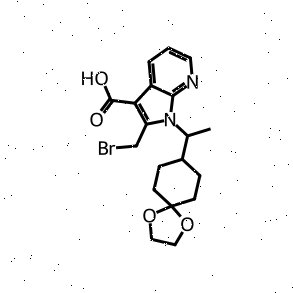 CC(C1CCC2(CC1)OCCO2)n1c(CBr)c(C(=O)O)c2cccnc21